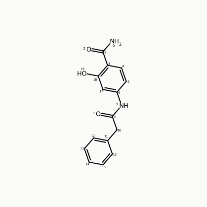 NC(=O)c1ccc(NC(=O)Cc2ccccc2)cc1O